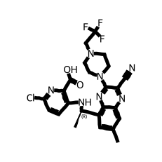 Cc1cc([C@@H](C)Nc2ccc(Cl)nc2C(=O)O)c2nc(N3CCN(CC(F)(F)F)CC3)c(C#N)nc2c1